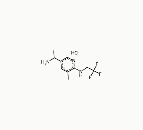 Cc1cc(C(C)N)cnc1NCC(F)(F)F.Cl